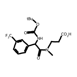 CN(CCC(=O)O)C(=O)C(NC(=O)OC(C)(C)C)c1cccc(C(F)(F)F)c1